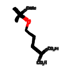 COC(C)(C)OCCCC(C(=O)O)C(=O)O